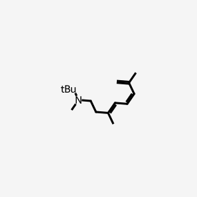 C=C(C)/C=C\C=C(/C)CCN(C)C(C)(C)C